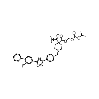 CC(C)OC(=O)OCOC(=O)C1(C(=O)N(C)C)CCN(Cc2ccc(-c3noc(-c4ccc(-c5ccccc5)c(F)c4)n3)cc2)CC1